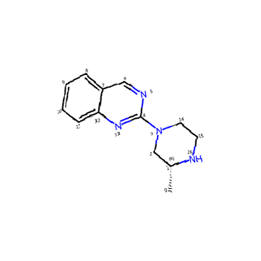 C[C@@H]1CN(c2ncc3ccccc3n2)CCN1